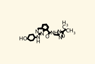 CC(C)c1nc(CNC(=O)c2cccc3cnc(NC4CCC(O)CC4)nc23)no1